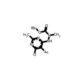 CC(=O)c1c(Cl)nc(C)nc1NN(C)C(=O)OC(C)(C)C